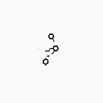 COC(=O)C1Cc2c(ccc(OC)c2OCc2ccccc2)CN1c1nc2ccc(OC)cc2o1